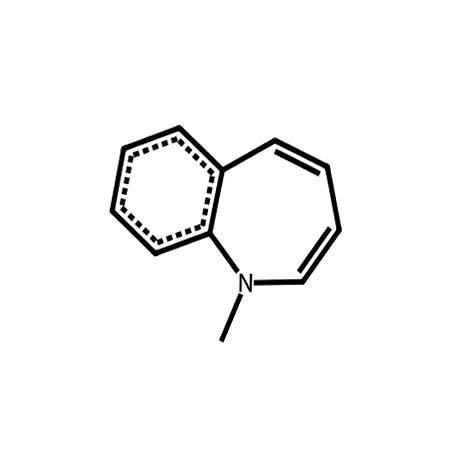 CN1C=CC=Cc2ccccc21